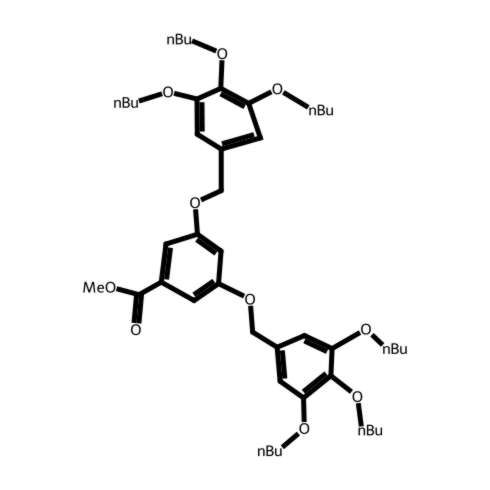 CCCCOc1cc(COc2cc(OCc3cc(OCCCC)c(OCCCC)c(OCCCC)c3)cc(C(=O)OC)c2)cc(OCCCC)c1OCCCC